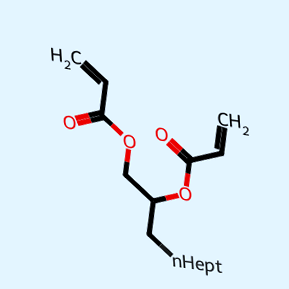 C=CC(=O)OCC(CCCCCCCC)OC(=O)C=C